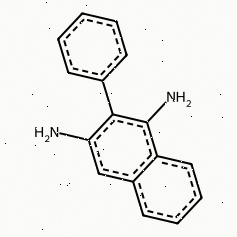 Nc1cc2ccccc2c(N)c1-c1ccccc1